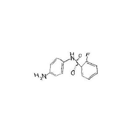 Nc1ccc(NS(=O)(=O)c2ccccc2F)cc1